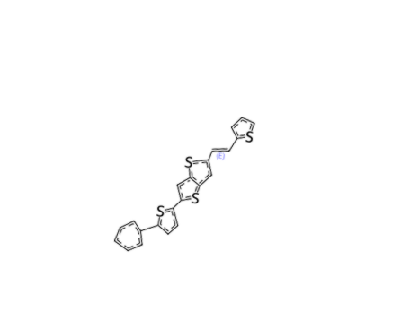 C(=C\c1cc2sc(-c3ccc(-c4ccccc4)s3)cc2s1)/c1cccs1